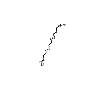 CCCCCCCCCCCC/N=N/CCSSCC/N=N/CC